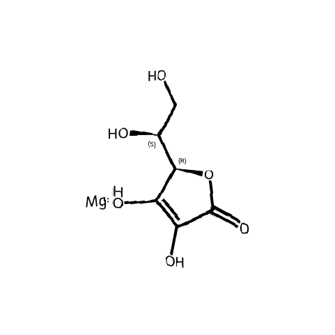 O=C1O[C@H]([C@@H](O)CO)C(O)=C1O.[Mg]